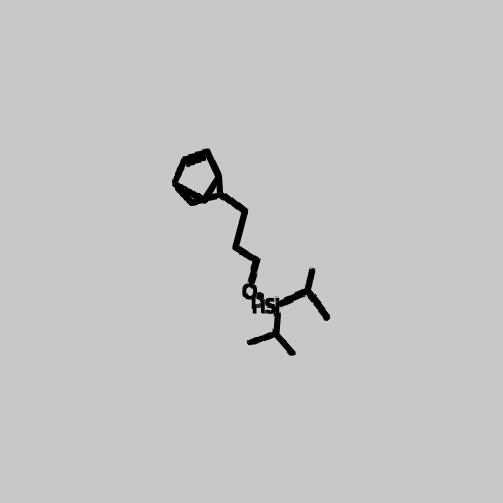 CC(C)[SiH](OCCCC1CC2C=CC1C2)C(C)C